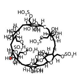 O=S(=O)(O)OC[C@H]1O[C@@H]2C[C@H]3[C@H](O)[C@@H](O)[C@@H](C[C@H]4[C@H](O)[C@@H](O)[C@@H](C[C@H]5[C@H](O)[C@@H](O)[C@@H](C[C@H]6[C@H](O)[C@@H](O)[C@@H](C[C@H]7[C@H](O)[C@@H](O)[C@@H](CC1[C@H](O)[C@H]2O)O[C@@H]7COS(=O)(=O)O)O[C@@H]6COS(=O)(=O)O)O[C@@H]5COS(=O)(=O)O)O[C@@H]4COS(=O)(=O)O)O[C@@H]3COS(=O)(=O)O